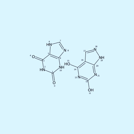 O=c1[nH]c(=O)c2[nH]cnc2[nH]1.Oc1nc(O)c2cn[nH]c2n1